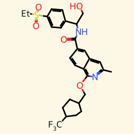 CCS(=O)(=O)c1ccc(C(CO)NC(=O)c2ccc3c(OCC4CCC(C(F)(F)F)CC4)nc(C)cc3c2)cc1